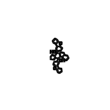 OC1(c2ccc3oc4ccccc4c3c2)c2ccccc2C(O)(c2ccc3oc4ccccc4c3c2)c2c1ccc1ccccc21